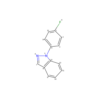 Fc1ccc(-n2ncc3[c]cccc32)cc1